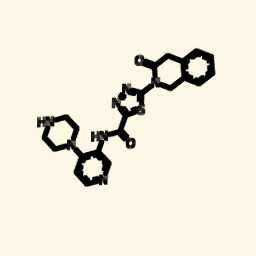 O=C(Nc1cnccc1N1CCNCC1)c1nnc(N2Cc3ccccc3CC2=O)s1